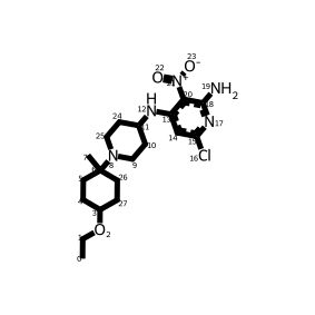 CCOC1CCC(C)(N2CCC(Nc3cc(Cl)nc(N)c3[N+](=O)[O-])CC2)CC1